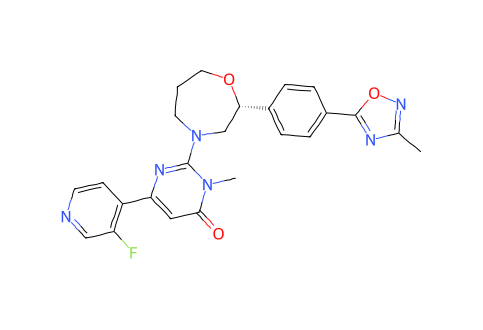 Cc1noc(-c2ccc([C@@H]3CN(c4nc(-c5ccncc5F)cc(=O)n4C)CCCO3)cc2)n1